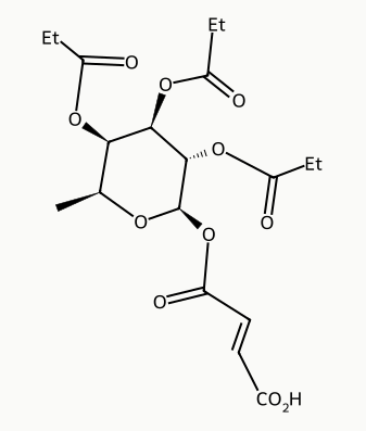 CCC(=O)O[C@H]1[C@H](OC(=O)CC)[C@@H](OC(=O)/C=C/C(=O)O)O[C@@H](C)[C@H]1OC(=O)CC